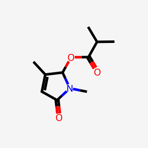 CC1=CC(=O)N(C)C1OC(=O)C(C)C